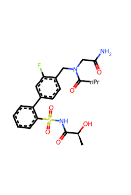 CCCC(=O)N(CC(N)=O)Cc1ccc(-c2ccccc2S(=O)(=O)NC(=O)[C@H](C)O)cc1F